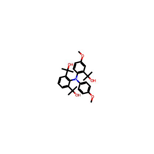 COc1ccc(N(c2ccc(OC)cc2C(C)(C)O)c2c(C(C)(C)O)cccc2C(C)(C)O)cc1